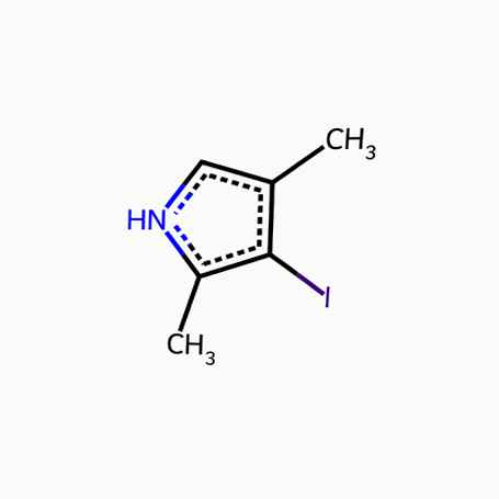 Cc1c[nH]c(C)c1I